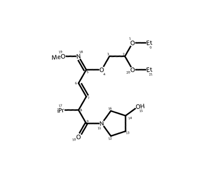 CCOC(COC(/C=C/C(C(=O)N1CCC(O)C1)C(C)C)=N/OC)OCC